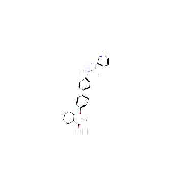 O=C(Nc1ccc(-c2ccc(C(=O)[C@@H]3CCCCC3C(=O)O)cc2)cc1)Nc1cccnc1